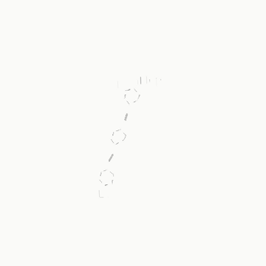 CCCCCCCc1ccc(C#Cc2ccc(C#Cc3ccc(CC)cc3F)cc2)cc1F